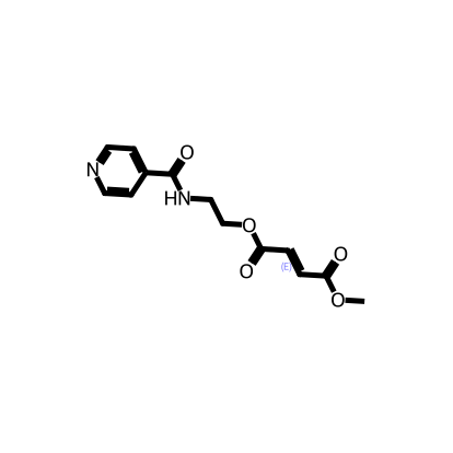 COC(=O)/C=C/C(=O)OCCNC(=O)c1ccncc1